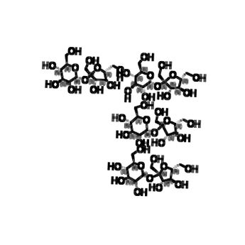 OC[C@H]1O[C@@](CO)(O[C@H]2O[C@H](CO)[C@@H](O)[C@H](O)[C@H]2O)[C@@H](O)[C@@H]1O.OC[C@H]1O[C@@](CO)(O[C@H]2O[C@H](CO)[C@@H](O)[C@H](O)[C@H]2O)[C@@H](O)[C@@H]1O.OC[C@H]1O[C@@](CO)(O[C@H]2O[C@H](CO)[C@@H](O)[C@H](O)[C@H]2O)[C@@H](O)[C@@H]1O.OC[C@H]1O[C@@](CO)(O[C@H]2O[C@H](CO)[C@@H](O)[C@H](O)[C@H]2O)[C@@H](O)[C@@H]1O